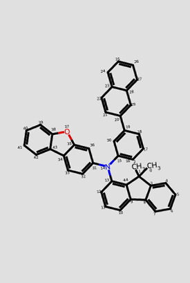 CC1(C)c2ccccc2-c2cccc(N(c3cccc(-c4ccc5ccccc5c4)c3)c3ccc4c(c3)oc3ccccc34)c21